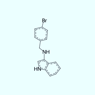 Brc1ccc(CNc2c[nH]c3ccccc23)cc1